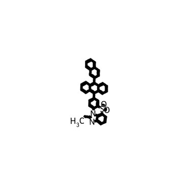 CCc1nc2cccc3c2n1-c1ccc(-c2c4ccccc4c(-c4ccc5ccccc5c4)c4ccccc24)cc1S3(=O)=O